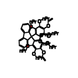 C=COc1c(OCCC)c(OCCC)c(C2(c3c(OCCC)c(OCCC)c(OC=C)c(OCCC)c3OCCC)c3ccccc3-c3ccccc32)c(OCCC)c1OCCC